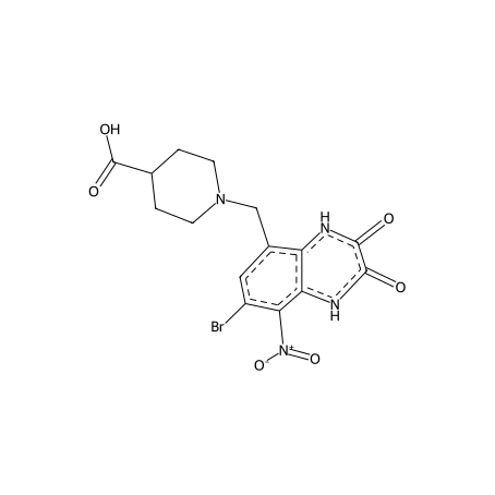 O=C(O)C1CCN(Cc2cc(Br)c([N+](=O)[O-])c3[nH]c(=O)c(=O)[nH]c23)CC1